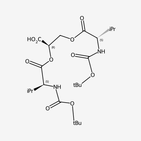 CC(C)[C@H](NC(=O)OC(C)(C)C)C(=O)OC[C@@H](OC(=O)[C@@H](NC(=O)OC(C)(C)C)C(C)C)C(=O)O